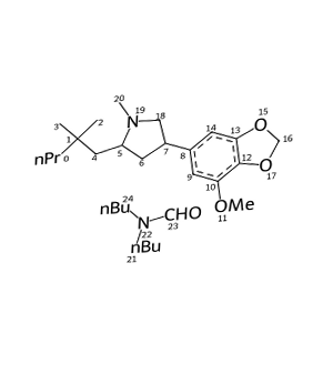 CCCC(C)(C)CC1CC(c2cc(OC)c3c(c2)OCO3)CN1C.CCCCN(C=O)CCCC